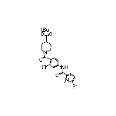 Cn1c(Br)cnc1C(=O)Nc1ccc(C(=O)N2CCC(C(=O)OC(C)(C)C)CC2)c(Cl)c1